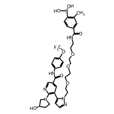 Cc1cc(C(=O)NCCOCCOCCOCCn2nccc2-c2cc(C(=O)Nc3ccc(OC(F)(F)F)cc3)cnc2N2CC[C@@H](O)C2)ccc1B(O)O